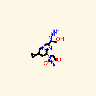 CN1C(=O)CN(c2cc(C3CC3)cn3cc(C(CO)N=[N+]=[N-])nc23)C1=O